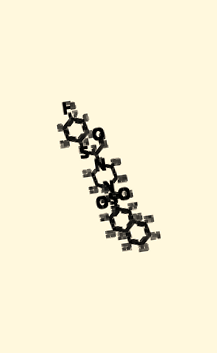 O=CC(Sc1ccc(F)cc1)N1CCN(S(=O)(=O)c2ccc3ccccc3c2)CC1